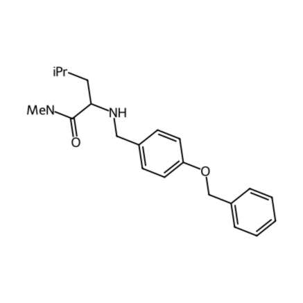 CNC(=O)C(CC(C)C)NCc1ccc(OCc2ccccc2)cc1